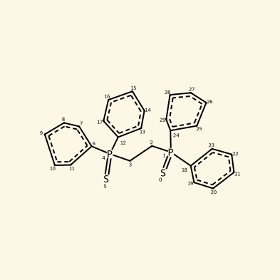 S=P(CCP(=S)(c1ccccc1)c1ccccc1)(c1ccccc1)c1ccccc1